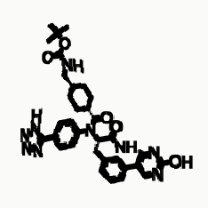 CC(C)(C)OC(=O)NC[C@H]1CC[C@H](C(=O)N(c2ccc(-c3nnn[nH]3)cc2)[C@@H](Cc2cccc(-c3cnc(O)nc3)c2)C(N)=O)CC1